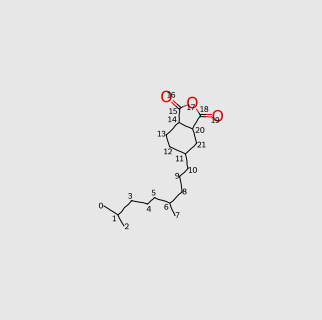 CC(C)CCCC(C)CCCC1CCC2C(=O)OC(=O)C2C1